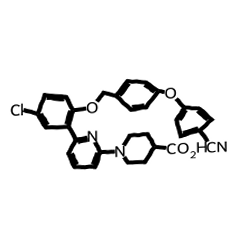 N#Cc1ccc(Oc2ccc(COc3ccc(Cl)cc3-c3cccc(N4CCC(C(=O)O)CC4)n3)cc2)cc1